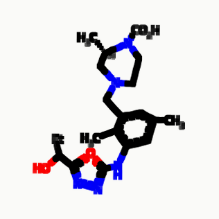 CCC(O)c1nnc(Nc2cc(C)cc(CN3CCN(C(=O)O)[C@@H](C)C3)c2C)o1